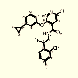 O=C(NCC(F)c1ccc(Cl)cc1Cl)c1cc(Cl)nnc1Oc1cccc(C2CC2)c1